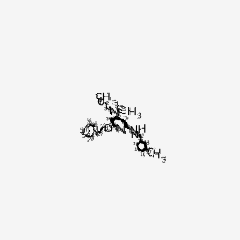 COCCN(C)c1cc(N/N=C/c2cccc(C)c2)nc(OCCN2CCOCC2)c1